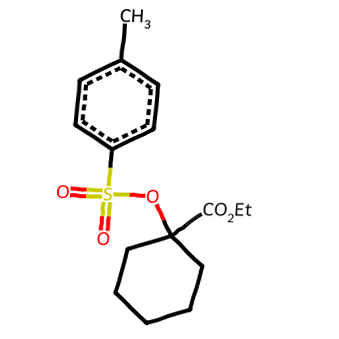 CCOC(=O)C1(OS(=O)(=O)c2ccc(C)cc2)CCCCC1